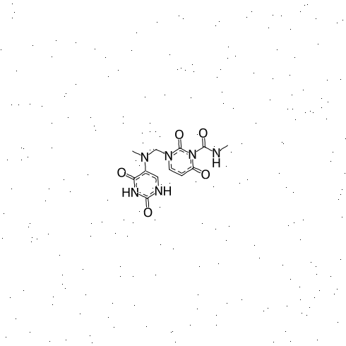 CNC(=O)n1c(=O)ccn(CN(C)c2c[nH]c(=O)[nH]c2=O)c1=O